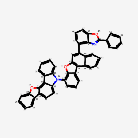 c1ccc(-c2nc3c(-c4cc5oc6c(-n7c8ccccc8c8c9oc%10ccccc%10c9ccc87)cccc6c5c5ccccc45)cccc3o2)cc1